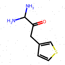 NC(N)C(=O)Cc1ccsc1